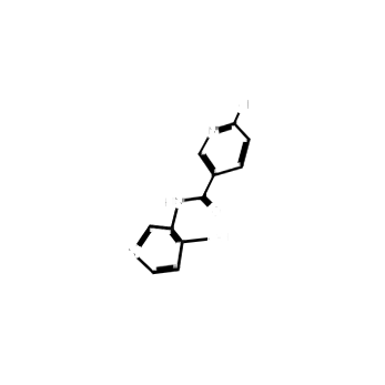 O=C(Nc1cnccc1O)c1ccc(Cl)nc1